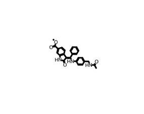 COC(=O)c1ccc2c(c1)NC(=O)/C2=C(\Nc1ccc(CNC(C)=O)cc1)c1ccccc1